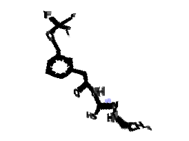 CN/N=C(\S)NC(=O)Cc1cccc(OC(F)(F)F)c1